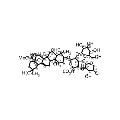 COC(=O)[C@]12CCC(C)(C)CC1C1=CCC3C4(C)CC[C@H](O[C@@H]5OC(C(=O)O)[C@@H](O)[C@H](O[C@@H]6OC[C@@H](O)[C@H](O)C6O)C5O[C@@H]5OC(CO)[C@H](O)C(O)[C@@H]5O)[C@](C)(C=O)C4CC[C@@]3(C)[C@]1(C)C[C@H]2O